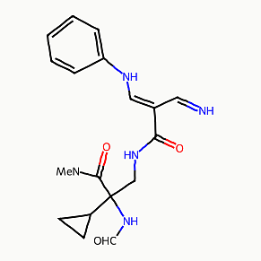 CNC(=O)C(CNC(=O)/C(C=N)=C/Nc1ccccc1)(NC=O)C1CC1